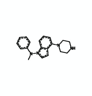 CN(c1ccccc1)n1ccc2c(N3CCNCC3)cccc21